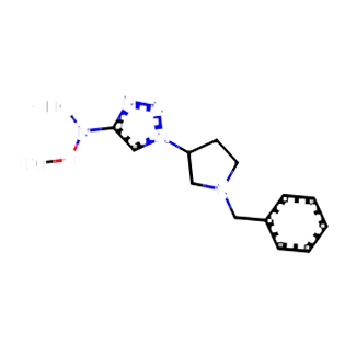 CC(C)(C)ON(C=O)c1cn(C2CCN(Cc3ccccc3)C2)nn1